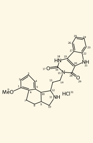 COc1cccc2c1CCC1CNC(CCn3c(=O)[nH]c4c([nH]c5ccccc54)c3=O)C21.Cl